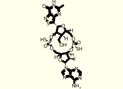 Cc1nc2c([C@@H]3O[C@@H]4CO[P@](=O)(S)O[C@H]5[C@@H](F)[C@H](n6cnc7c(N)ncnc76)O[C@@H]5CO[P@](=O)(S)O[C@@H]3[C@@H]4CO)snc2c(=O)[nH]1